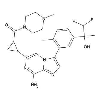 Cc1ccc(C(C)(O)C(F)F)cc1-c1cnc2c(N)nc(C3CC3C(=O)N3CCN(C)CC3)cn12